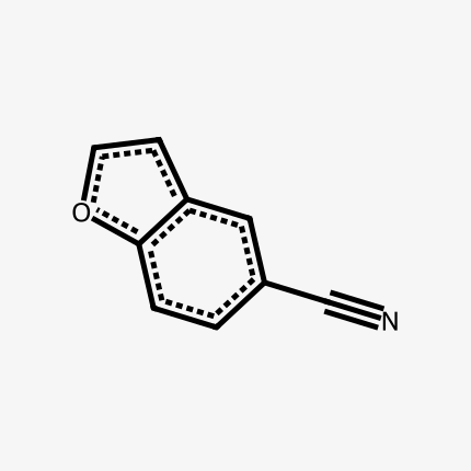 N#Cc1ccc2occc2c1